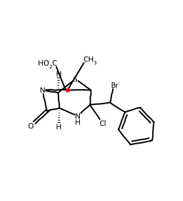 CC1=C(C(=O)O)N2C(=O)[C@@H]3NC(Cl)(C(Br)c4ccccc4)C1S[C@@H]32